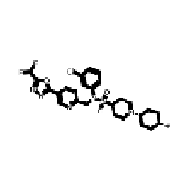 O=S(=O)(C1CCN([C@H]2CC[C@H](F)CC2)CC1)N(Cc1ccc(-c2nnc(C(F)F)o2)cn1)c1cccc(Cl)c1